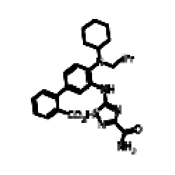 CC(C)CN(c1ccc(-c2ccccc2C(=O)O)cc1Nc1nc(C(N)=O)ns1)C1CCCCC1